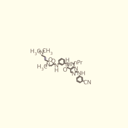 CCCNc1nc(Nc2cccc(C#N)c2)ncc1C(=O)Nc1cccc(NC(=O)CN(C)C(=O)/C=C/CN(C)C)c1